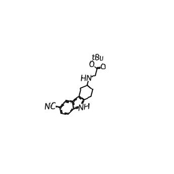 CC(C)(C)OC(=O)CNC1CCc2[nH]c3ccc(C#N)cc3c2C1